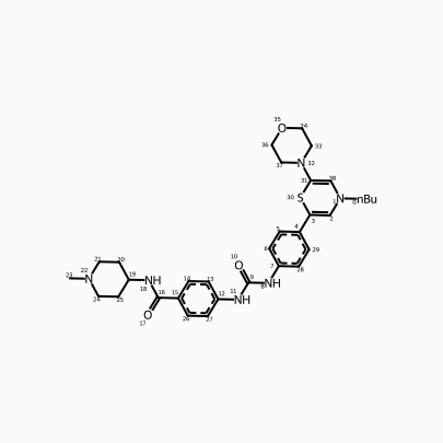 CCCCN1C=C(c2ccc(NC(=O)Nc3ccc(C(=O)NC4CCN(C)CC4)cc3)cc2)SC(N2CCOCC2)=C1